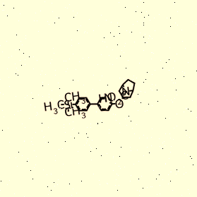 C[Si](C)(C)c1ccc(-c2ccc(OC3CC4CCC(C3)N4C(=O)O)nc2)cc1